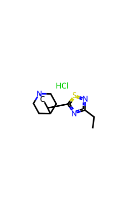 CCc1nsc(C2CN3CCC2CC3)n1.Cl